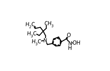 C=CCC(CC)(CC)CN(C)Cc1ccc(C(=O)NO)cc1